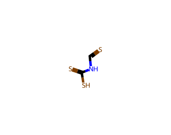 S=CNC(=S)S